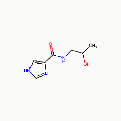 CC(O)CNC(=O)c1c[nH]cn1